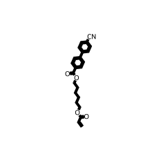 C=CC(=O)OCCCCCCOC(=O)c1ccc(-c2ccc(C#N)cc2)cc1